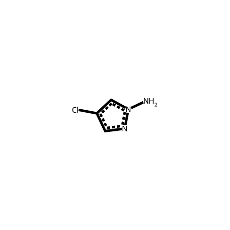 Nn1cc(Cl)cn1